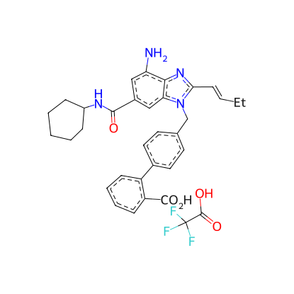 CCC=Cc1nc2c(N)cc(C(=O)NC3CCCCC3)cc2n1Cc1ccc(-c2ccccc2C(=O)O)cc1.O=C(O)C(F)(F)F